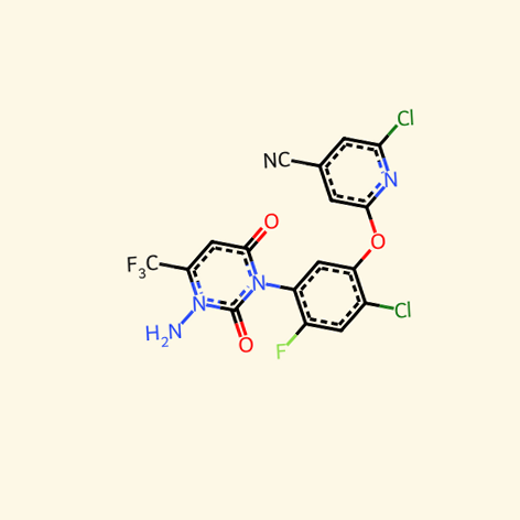 N#Cc1cc(Cl)nc(Oc2cc(-n3c(=O)cc(C(F)(F)F)n(N)c3=O)c(F)cc2Cl)c1